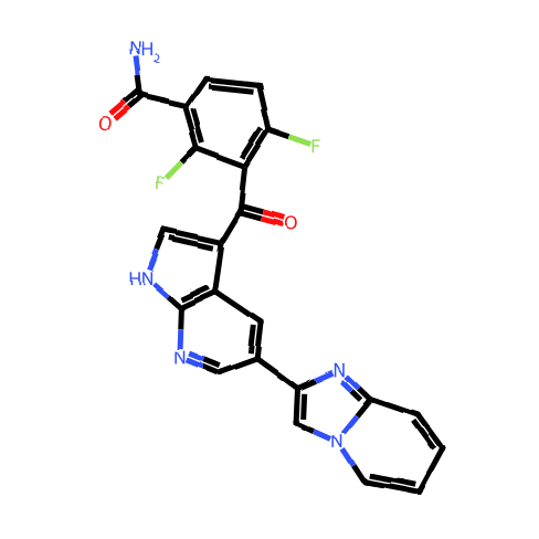 NC(=O)c1ccc(F)c(C(=O)c2c[nH]c3ncc(-c4cn5ccccc5n4)cc23)c1F